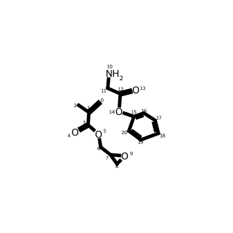 C=C(C)C(=O)OCC1CO1.NCC(=O)Oc1ccccc1